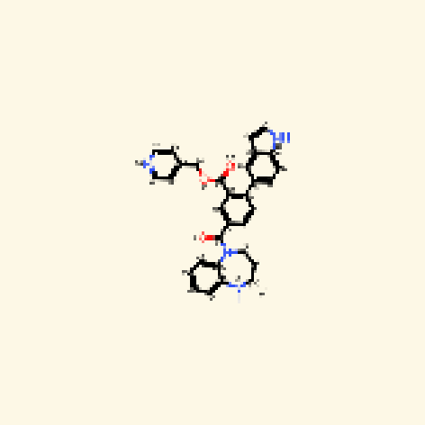 C[C@H]1CCN(C(=O)c2ccc(-c3ccc4[nH]ccc4c3)c(C(=O)OCc3ccncc3)c2)c2ccccc2N1